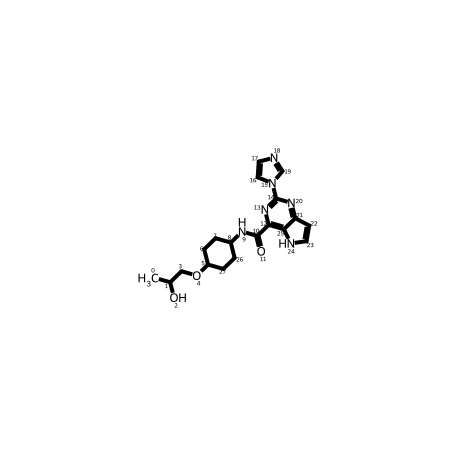 CC(O)COC1CCC(NC(=O)c2nc(-n3ccnc3)nc3cc[nH]c23)CC1